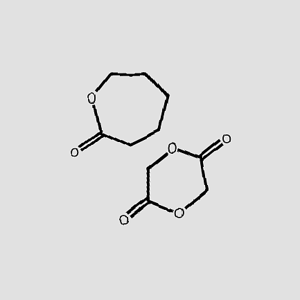 O=C1CCCCCO1.O=C1COC(=O)CO1